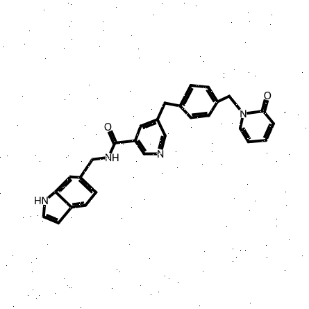 O=C(NCc1ccc2cc[nH]c2c1)c1cncc(Cc2ccc(Cn3ccccc3=O)cc2)c1